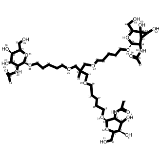 CC(=O)NC1C(O)[C@@H](O)C(CO)O[C@H]1OCCCCCOCC(C)(COCCCCCO[C@@H]1OC(CO)[C@H](O)C(O)C1NC(C)=O)COCCCCCO[C@@H]1OC(CO)C2(O)C(O)C2C1NC(C)=O